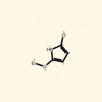 CCOc1ccc(Cl)[nH]1